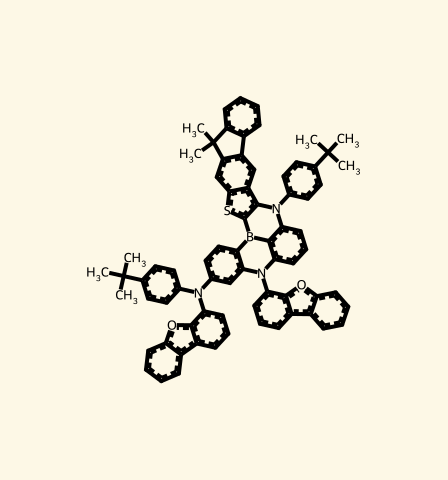 CC(C)(C)c1ccc(N2c3cccc4c3B(c3ccc(N(c5ccc(C(C)(C)C)cc5)c5cccc6c5oc5ccccc56)cc3N4c3cccc4c3oc3ccccc34)c3sc4cc5c(cc4c32)-c2ccccc2C5(C)C)cc1